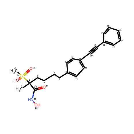 CC(CCCCc1ccc(C#Cc2ccccc2)cc1)(C(=O)NO)S(C)(=O)=O